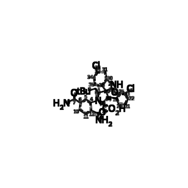 CC(C)(C)C[C@@H]1N(c2cc(C(N)=O)ccc2C(N)=O)[C@@H](C(=O)O)[C@H](c2cccc(Cl)c2)C12C(=O)Nc1cc(Cl)ccc12